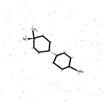 CCCCC1CCC([C@H]2CC[C@](C)(C#N)CC2)CC1